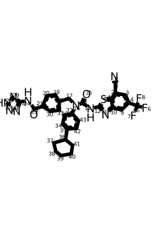 N#Cc1cc(C(F)(F)F)cc2nc(NC(=O)N(Cc3ccc(C(=O)Nc4nn[nH]n4)cc3)c3ccc(C4CCCCC4)cc3)sc12